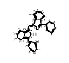 C(=C1N=C(c2ccccc2)c2ccccc21)c1[nH]c(-c2ccccc2)c2ccccc12